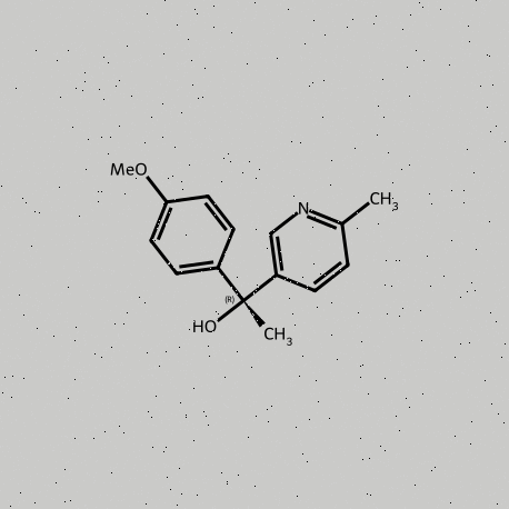 COc1ccc([C@@](C)(O)c2ccc(C)nc2)cc1